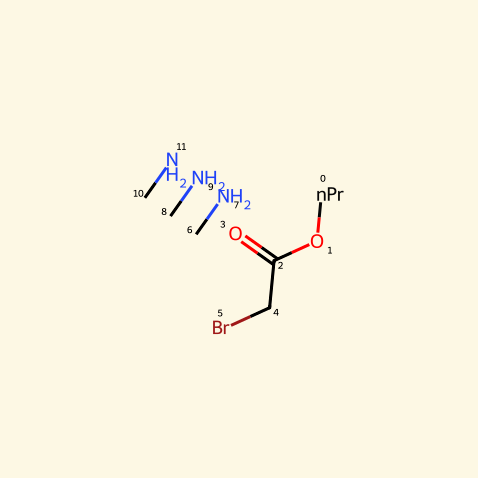 CCCOC(=O)CBr.CN.CN.CN